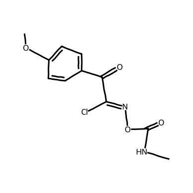 CNC(=O)ON=C(Cl)C(=O)c1ccc(OC)cc1